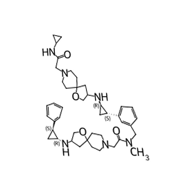 CN(Cc1cccc([C@@H]2C[C@H]2NC2COC3(CCN(CC(=O)NC4CC4)CC3)C2)c1)C(=O)CN1CCC2(CC1)CC(N[C@@H]1C[C@H]1c1ccccc1)CO2